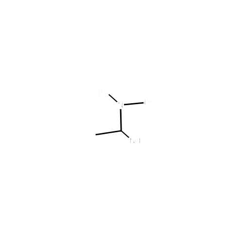 CCN(C(C)C)C(C)N